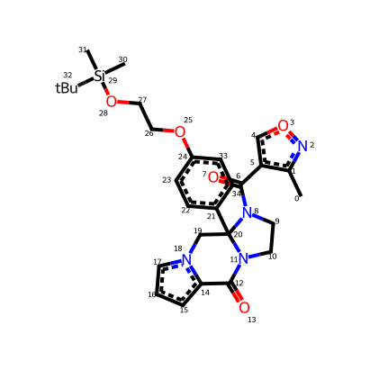 Cc1nocc1C(=O)N1CCN2C(=O)c3cccn3CC12c1ccc(OCCO[Si](C)(C)C(C)(C)C)cc1